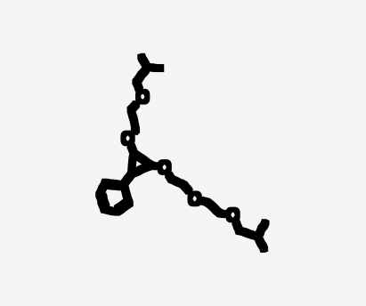 CC(C)COCCOCCOC1C(OCCOCC(C)C)C1c1ccccc1